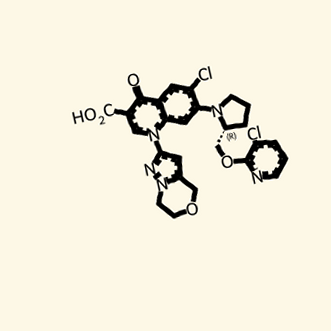 O=C(O)c1cn(-c2cc3n(n2)CCOC3)c2cc(N3CCC[C@@H]3COc3ncccc3Cl)c(Cl)cc2c1=O